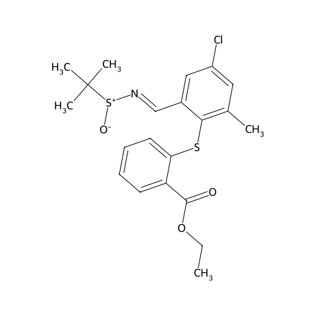 CCOC(=O)c1ccccc1Sc1c(C)cc(Cl)cc1C=N[S+]([O-])C(C)(C)C